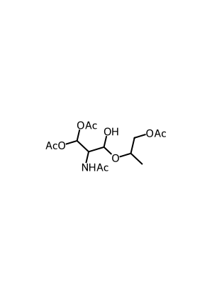 CC(=O)NC(C(O)OC(C)COC(C)=O)C(OC(C)=O)OC(C)=O